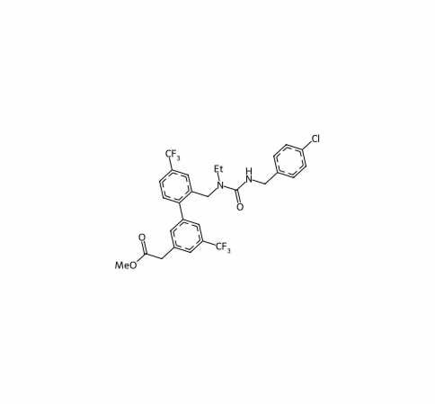 CCN(Cc1cc(C(F)(F)F)ccc1-c1cc(CC(=O)OC)cc(C(F)(F)F)c1)C(=O)NCc1ccc(Cl)cc1